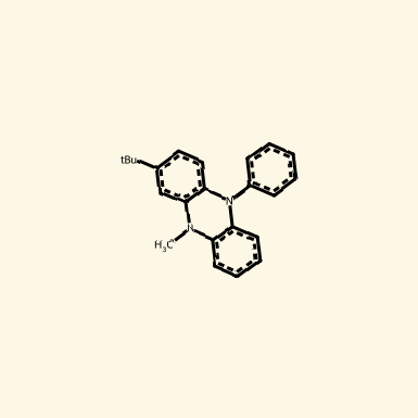 CN1c2ccccc2N(c2ccccc2)c2ccc(C(C)(C)C)cc21